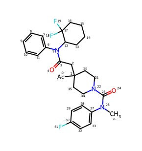 CC(=O)C1(CC(=O)N(c2ccccc2)C2CCCCC2(F)F)CCN(C(=O)N(C)c2ccc(F)cc2)CC1